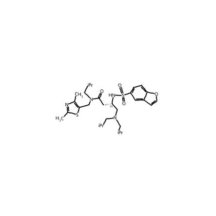 Cc1nc(C)c(CN(CC(C)C)C(=O)C[C@@H](CN(CC(C)C)CC(C)C)NS(=O)(=O)c2ccc3occc3c2)s1